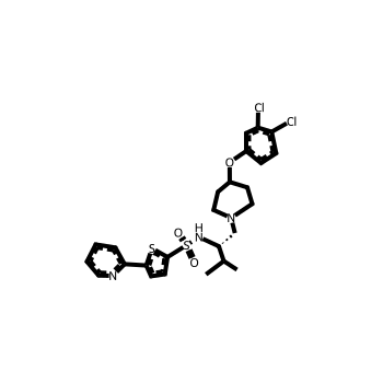 CC(C)[C@@H](CN1CCC(Oc2ccc(Cl)c(Cl)c2)CC1)NS(=O)(=O)c1ccc(-c2ccccn2)s1